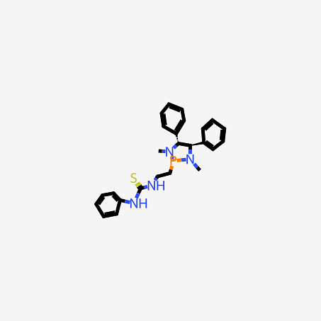 CN1[C@H](c2ccccc2)[C@@H](c2ccccc2)N(C)P1CCNC(=S)Nc1ccccc1